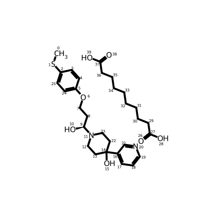 CSc1ccc(OCC[C@H](O)N2CCC(O)(c3cccnc3)CC2)cc1.O=C(O)CCCCCCCCC(=O)O